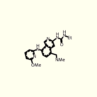 CCNC(=O)Nc1cc2c(CNC)ccc(Nc3cccc(OC)n3)c2cn1